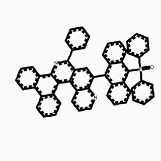 O=P(c1ccccc1)(c1ccccc1)c1c2ccccc2c(-c2cc3c(-c4ccccc4)nc4c5ccccc5c5ccccc5c4c3c3cccnc23)c2ccccc12